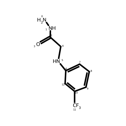 NNC(=O)CNc1cccc(C(F)(F)F)c1